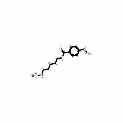 CCCCOc1ccc(C(=O)OCCCCCOC=O)cc1